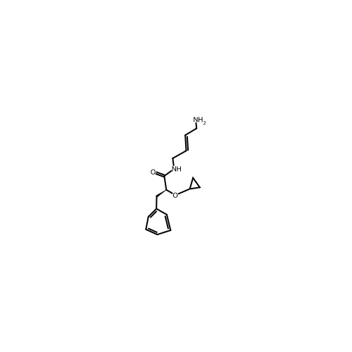 NC/C=C/CNC(=O)[C@H](Cc1ccccc1)OC1CC1